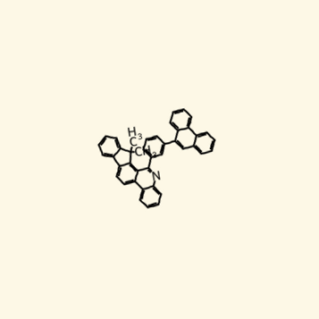 CC1(C)c2ccccc2-c2ccc3c(c(-c4cccc(-c5cc6ccccc6c6ccccc56)c4)nc4ccccc43)c21